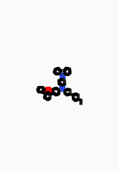 C=Cc1ccc(-c2ccc(N(c3ccc(-c4cccc5c4oc4ccccc45)cc3)c3ccc(-n4c5ccccc5c5ccccc54)cc3)cc2)cc1